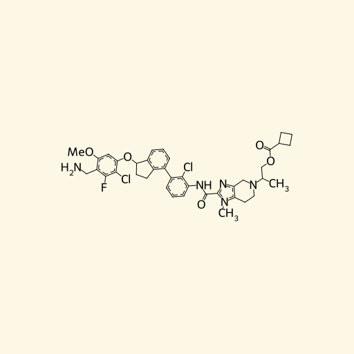 COc1cc(OC2CCc3c(-c4cccc(NC(=O)c5nc6c(n5C)CCN(C(C)COC(=O)C5CCC5)C6)c4Cl)cccc32)c(Cl)c(F)c1CN